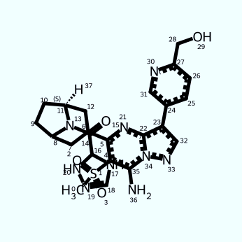 CS(=O)(=O)c1c(C2CC3CC[C@@H](C2)N3C(=O)C2NC=NN2)nc2c(-c3ccc(CO)nc3)cnn2c1N